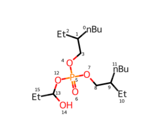 CCCCC(CC)COP(=O)(OCC(CC)CCCC)OC(O)CC